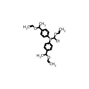 C=COC(C)c1ccc(N(c2ccc(C(C)OC=C)cc2)C(CC)OC=C)cc1